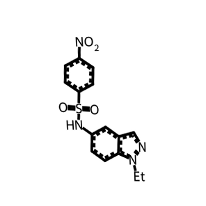 CCn1ncc2cc(NS(=O)(=O)c3ccc([N+](=O)[O-])cc3)ccc21